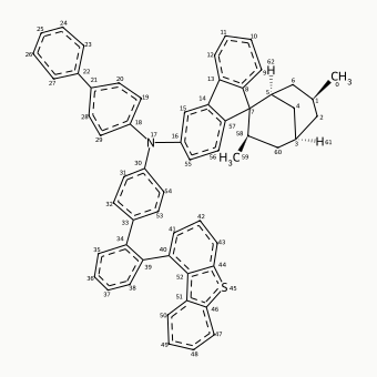 C[C@H]1C[C@@H]2C[C@H](C1)C1(c3ccccc3-c3cc(N(c4ccc(-c5ccccc5)cc4)c4ccc(-c5ccccc5-c5cccc6sc7ccccc7c56)cc4)ccc31)[C@H](C)C2